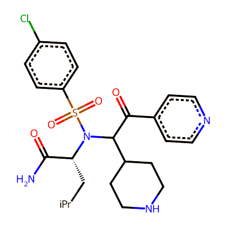 CC(C)C[C@H](C(N)=O)N(C(C(=O)c1ccncc1)C1CCNCC1)S(=O)(=O)c1ccc(Cl)cc1